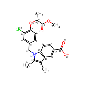 COC(=O)[C@@H](C)Oc1ccc(Cn2c(C)c(C)c3cc(C(=O)O)ccc32)cc1Cl